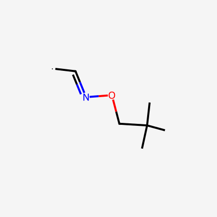 [CH2]C=NOCC(C)(C)C